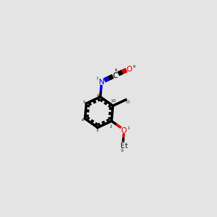 CCOc1cccc(N=C=O)c1C